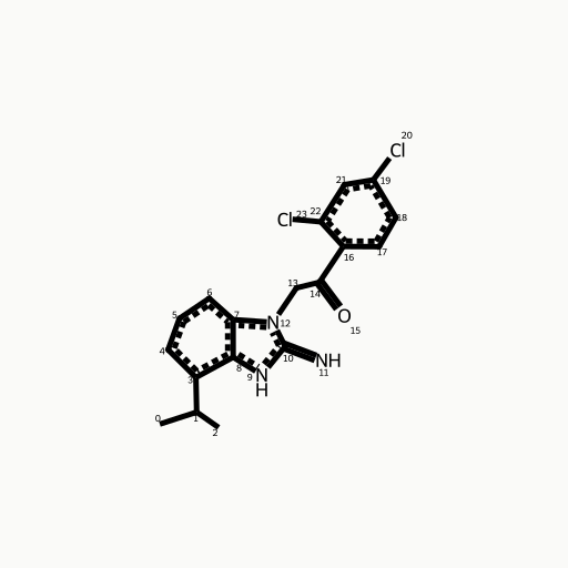 CC(C)c1cccc2c1[nH]c(=N)n2CC(=O)c1ccc(Cl)cc1Cl